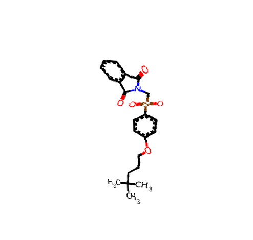 CC(C)(C)CCCOc1ccc(S(=O)(=O)CN2C(=O)c3ccccc3C2=O)cc1